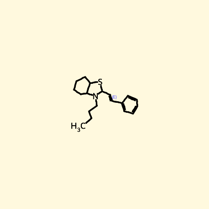 CCCCN1C(/C=C/c2ccccc2)SC2CCCCC21